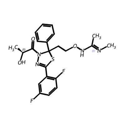 C/N=C(\C)NOCCC1(c2ccccc2)SC(c2cc(F)ccc2F)=NN1C(=O)[C@H](C)O